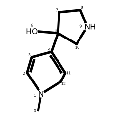 CN1C=CC(C2(O)CCNC2)=CC1